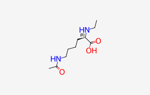 CCN[C@H](CCCCNC(C)=O)C(=O)O